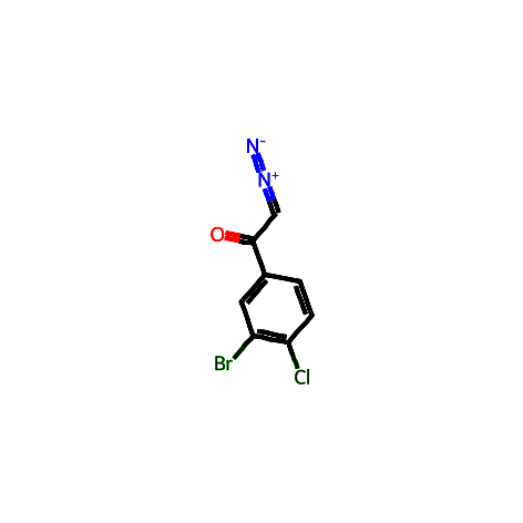 [N-]=[N+]=CC(=O)c1ccc(Cl)c(Br)c1